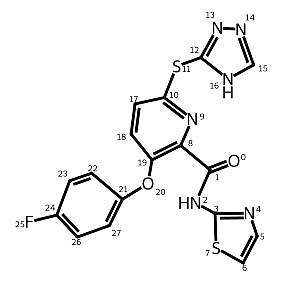 O=C(Nc1nccs1)c1nc(Sc2nnc[nH]2)ccc1Oc1ccc(F)cc1